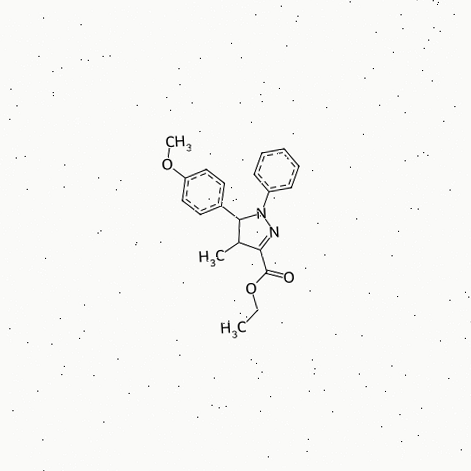 CCOC(=O)C1=NN(c2ccccc2)C(c2ccc(OC)cc2)C1C